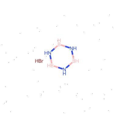 B1NBNBN1.Br